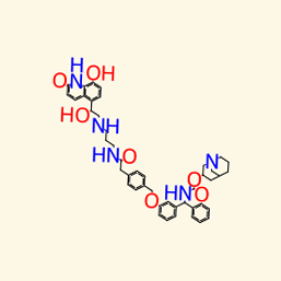 O=C(Cc1ccc(COc2cccc([C@@H](NC(=O)O[C@@H]3CC4CCCN(C4)C3)c3ccccc3)c2)cc1)NCCCNC[C@H](O)c1ccc(O)c2[nH]c(=O)ccc12